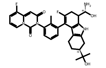 Cc1c(C2=C(F)CC([C@H](N)O)c3[nH]c4c(c32)CC[C@H](C(C)(C)O)C4)cccc1-n1c(=O)cc2c(F)cccn2c1=O